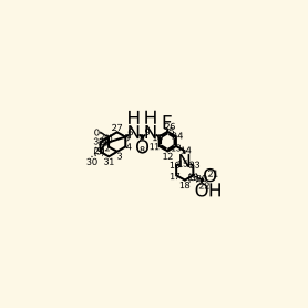 C[C@]12CC3CC(NC(=O)Nc4ccc(CN5CCC[C@H](C(=O)O)C5)cc4F)(C1)C[C@@](C)(C3)C2